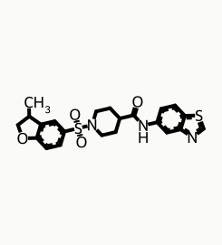 CC1COc2ccc(S(=O)(=O)N3CCC(C(=O)Nc4ccc5scnc5c4)CC3)cc21